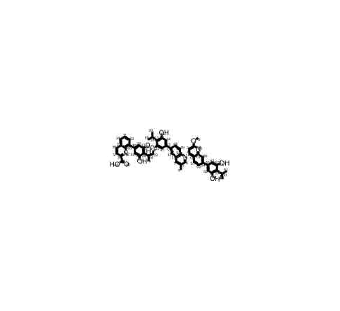 COc1cc(-[n+]2cc(C)cc3cc(-c4cc(O)c(C(C)C)c(OCC(C)c5c(O)cc(-c6cccc7ccc(C(=O)O)nc67)cc5O)c4)ccc32)c2ccc(-c3cc(O)c(C(C)C)c(O)c3)cc2n1